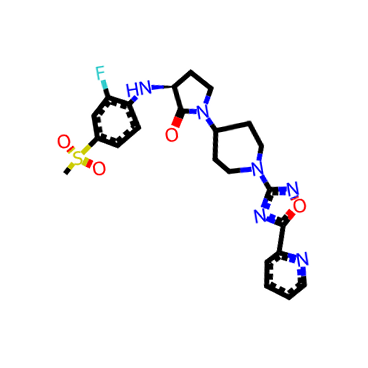 CS(=O)(=O)c1ccc(N[C@H]2CCN(C3CCN(c4noc(-c5ccccn5)n4)CC3)C2=O)c(F)c1